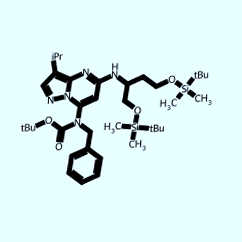 CC(C)c1cnn2c(N(Cc3ccccc3)C(=O)OC(C)(C)C)cc(NC(CCO[Si](C)(C)C(C)(C)C)CO[Si](C)(C)C(C)(C)C)nc12